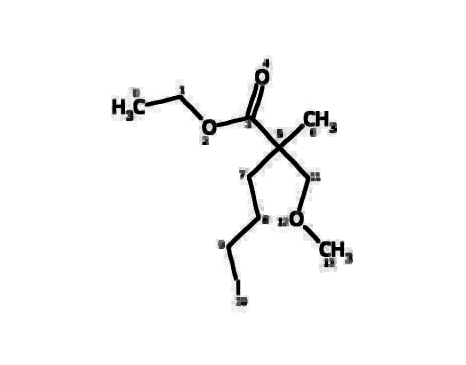 CCOC(=O)C(C)(CCCI)COC